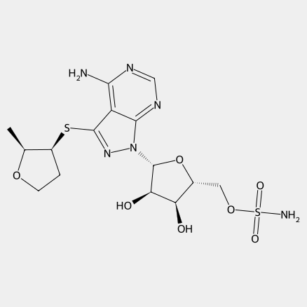 C[C@@H]1OCC[C@@H]1Sc1nn([C@@H]2O[C@H](COS(N)(=O)=O)[C@@H](O)[C@H]2O)c2ncnc(N)c12